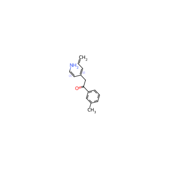 C=C/C=C(\C=C/N)CC(=O)c1cccc(C)c1